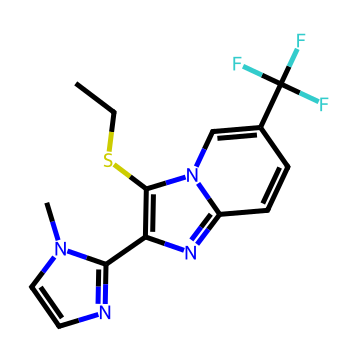 CCSc1c(-c2nccn2C)nc2ccc(C(F)(F)F)cn12